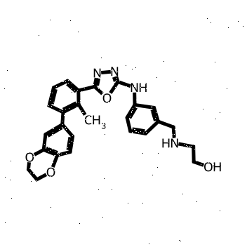 Cc1c(-c2ccc3c(c2)OCCO3)cccc1-c1nnc(Nc2cccc(CNCCO)c2)o1